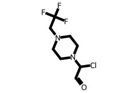 O=CC(Cl)N1CCN(CC(F)(F)F)CC1